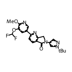 COc1ncc(-c2ccc3c(n2)CN(c2cnn(C(C)(C)C)c2)C3=O)cc1OC(F)F